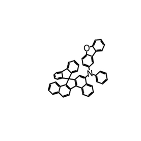 c1ccc(N(c2ccc3oc4ccccc4c3c2)c2cc3c(c4ccccc24)-c2ccc4ccccc4c2C32c3ccccc3-c3ccccc32)cc1